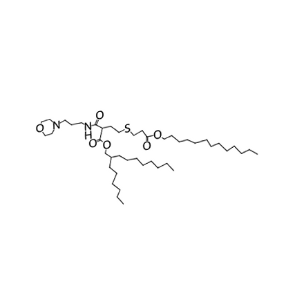 CCCCCCCCCCCCCOC(=O)CCSCCC(C(=O)NCCCN1CCOCC1)C(=O)OCC(CCCCCC)CCCCCCCC